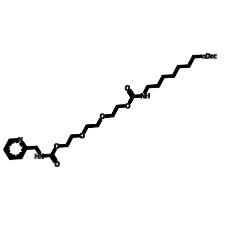 CCCCCCCCCCCCCCCCCNC(=O)OCCOCCOCCOC(=O)NCc1ccccn1